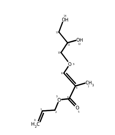 C=CCOC(=O)C(C)=COCC(O)CO